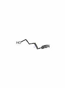 N#C/C=C/CCO